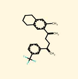 C=C(CCC(=C)c1cc2c(cc1C)CCCC2)c1cccc(C(F)(F)F)c1